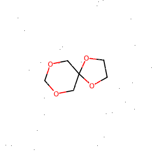 C1OCC2(CO1)OCCO2